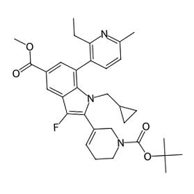 CCc1nc(C)ccc1-c1cc(C(=O)OC)cc2c(F)c(C3=CCCN(C(=O)OC(C)(C)C)C3)n(CC3CC3)c12